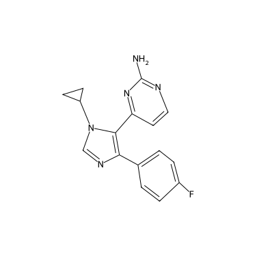 Nc1nccc(-c2c(-c3ccc(F)cc3)ncn2C2CC2)n1